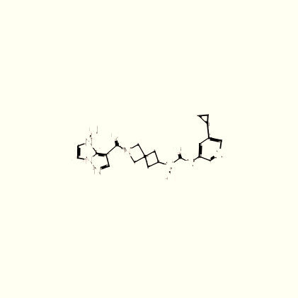 CN(C(=O)Nc1cncc(C2CC2)c1)C1CC2(C1)CN(C(=O)c1cnn3ccn(C)c13)C2